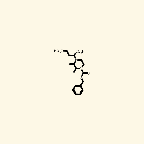 CC1C(=O)N(C(CCC(=O)O)C(=O)O)CCN1C(=O)OCc1ccccc1